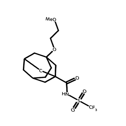 COCCOC12CCC3CC(C1)CC(C(=O)NS(=O)(=O)C(F)(F)F)(C3)C2